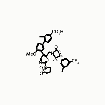 COc1ccc(-c2ccc(C(=O)O)cc2C)cc1-c1cnc(N2CCCS2(=O)=O)nc1CN1C(=O)O[C@H](c2cc(C)cc(C(F)(F)F)c2)[C@@H]1C